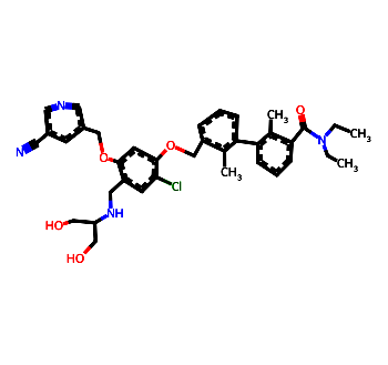 CCN(CC)C(=O)c1cccc(-c2cccc(COc3cc(OCc4cncc(C#N)c4)c(CNC(CO)CO)cc3Cl)c2C)c1C